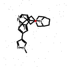 Cn1cc(-c2cc3c(N4CC5CCC(C4)N5C4CC(O)(C(F)(F)F)C4)ccnn3c2)cn1